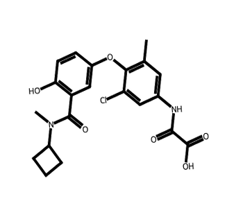 Cc1cc(NC(=O)C(=O)O)cc(Cl)c1Oc1ccc(O)c(C(=O)N(C)C2CCC2)c1